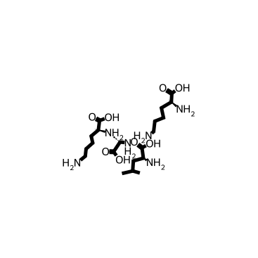 CC(C)C[C@H](N)C(=O)O.C[C@H](N)C(=O)O.NCCCC[C@H](N)C(=O)O.NCCCC[C@H](N)C(=O)O